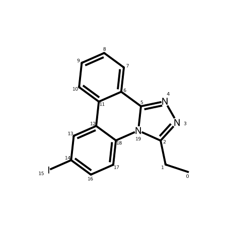 CCc1nnc2c3ccccc3c3cc(I)ccc3n12